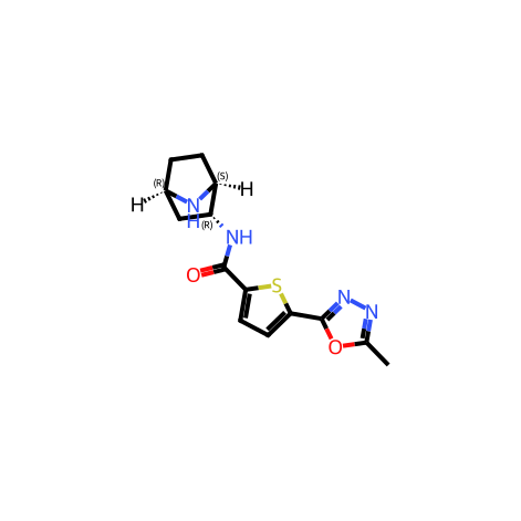 Cc1nnc(-c2ccc(C(=O)N[C@@H]3C[C@H]4CC[C@@H]3N4)s2)o1